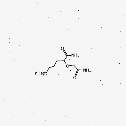 CCCCCCCCCCC(OCC(N)=O)C(N)=O